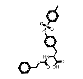 Cc1ccc(S(=O)(=O)Oc2ccc(C[C@H](NC(=O)OCc3ccccc3)C(=O)O)cc2)cc1